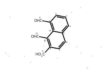 O=Cc1cccc2ccc(C(=O)O)c(C=O)c12